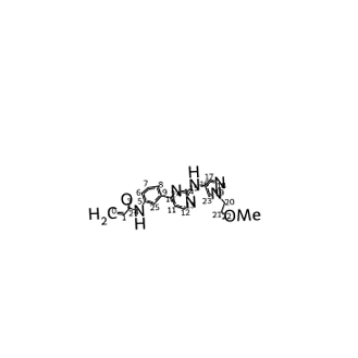 C=CC(=O)Nc1cccc(-c2ccnc(Nc3cnn(CCOC)c3)n2)c1